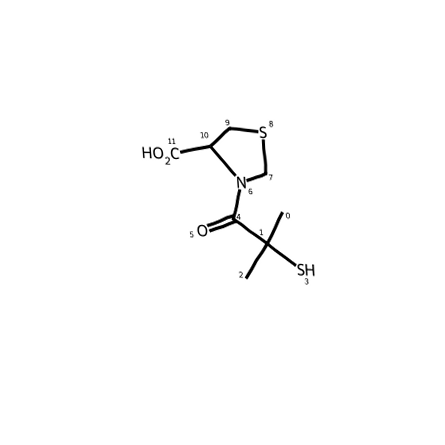 CC(C)(S)C(=O)N1CSCC1C(=O)O